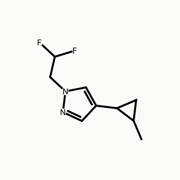 CC1CC1c1cnn(CC(F)F)c1